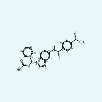 CC(=O)c1ccc(C(=O)Nc2ccc3c(c2)ncn3C(CC(=O)O)c2ccccc2)cc1